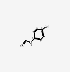 S=COc1ccc(S)cc1